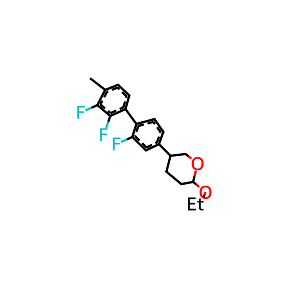 CCOC1CCC(c2ccc(-c3ccc(C)c(F)c3F)c(F)c2)CO1